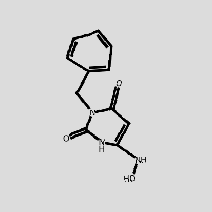 O=c1cc(NO)[nH]c(=O)n1Cc1ccccc1